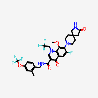 COc1c(N2CCC3(CC2)CNC(=O)C3)c(F)cc2c(=O)c(C(=O)NCc3ccc(OC(F)(F)F)cc3C)cn(CC(F)(F)F)c12